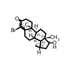 C[C@]12CCC(=O)C(Br)=C1CC[C@@H]1[C@@H]2CC[C@]2(C)[C@@H](O)C[C@@H]3C[C@]312